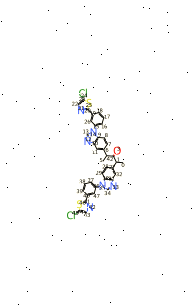 CC(C(=O)C(C)c1ccc2c(c1)ncn2-c1cccc(-c2ncc(Cl)s2)c1)c1ccc2c(c1)ncn2-c1cccc(-c2ncc(Cl)s2)c1